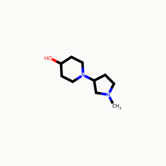 CN1CCC(N2CCC(O)CC2)C1